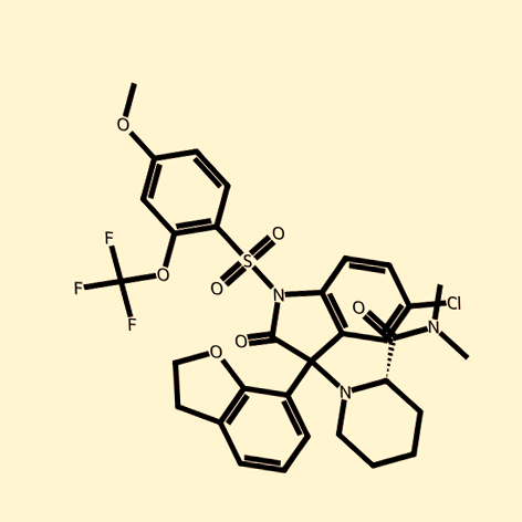 COc1ccc(S(=O)(=O)N2C(=O)C(c3cccc4c3OCC4)(N3CCCC[C@H]3C(=O)N(C)C)c3cc(Cl)ccc32)c(OC(F)(F)F)c1